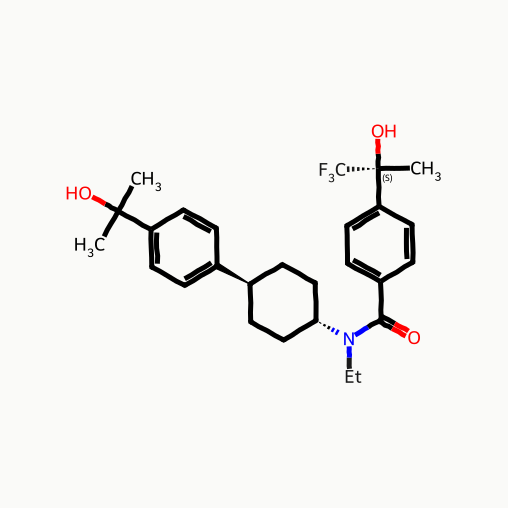 CCN(C(=O)c1ccc([C@](C)(O)C(F)(F)F)cc1)[C@H]1CC[C@H](c2ccc(C(C)(C)O)cc2)CC1